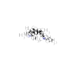 CCC(C)(C)/C=C(/C)C(=O)OOC(C)(C)OC(=O)OC(C)(C)OOC(=O)/C(C)=C\C(C)(C)CC